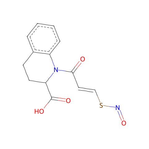 O=NSC=CC(=O)N1c2ccccc2CCC1C(=O)O